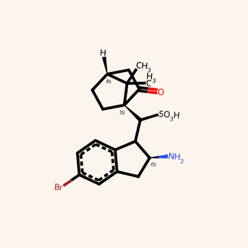 CC1(C)[C@@H]2CC[C@@]1(C(C1c3ccc(Br)cc3C[C@@H]1N)S(=O)(=O)O)C(=O)C2